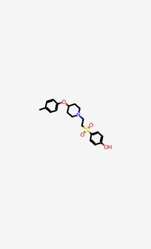 Cc1ccc(OC2CCN(CCS(=O)(=O)c3ccc(O)cc3)CC2)cc1